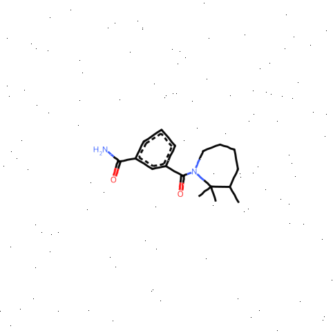 CC1CCCCN(C(=O)c2cccc(C(N)=O)c2)C1(C)C